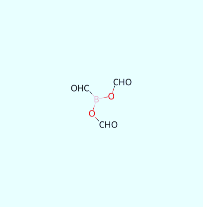 O=COB(C=O)OC=O